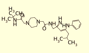 CC(C)C/C(=C/C(=N)CNC(=O)CN1CCN(CC(=O)NC(C)(C)C)CC1)Nc1ccccc1